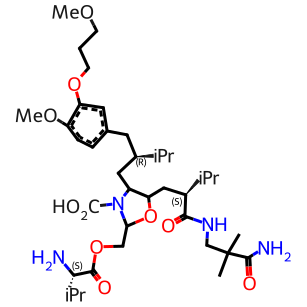 COCCCOc1cc(C[C@H](CC2C(C[C@H](C(=O)NCC(C)(C)C(N)=O)C(C)C)OC(COC(=O)[C@@H](N)C(C)C)N2C(=O)O)C(C)C)ccc1OC